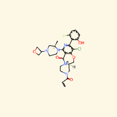 C=CC(=O)N1CCN2C(=O)c3c(N4CCN(C5COC5)C[C@H]4C)nc(-c4c(O)cccc4F)c(Cl)c3OC[C@H]2C1